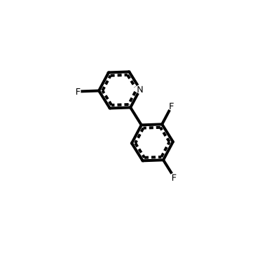 Fc1ccnc(-c2ccc(F)cc2F)c1